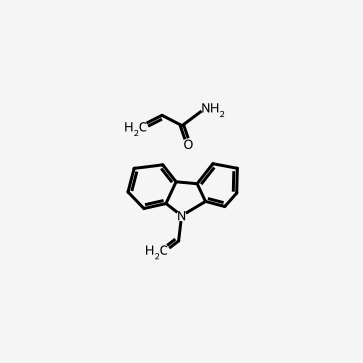 C=CC(N)=O.C=Cn1c2ccccc2c2ccccc21